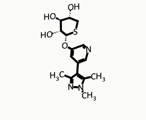 Cc1nn(C)c(C)c1-c1cncc(O[C@H]2SC[C@@H](O)[C@H](O)[C@H]2O)c1